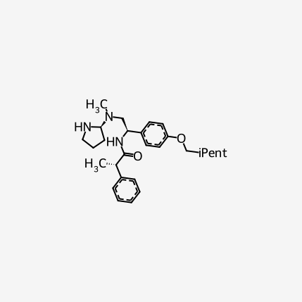 CCCC(C)COc1ccc([C@H](CN(C)[C@H]2CCCN2)NC(=O)[C@@H](C)c2ccccc2)cc1